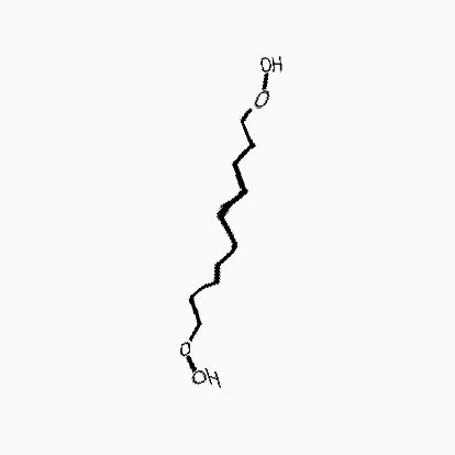 OOCCCCCCCCCCOO